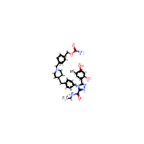 CC(C)c1cc(-c2nnc(C(=O)NCC(F)(F)F)n2-c2ccc(CC3CCN(Cc4ccc(COC(N)=O)cc4)CC3)cc2)c(O)cc1O